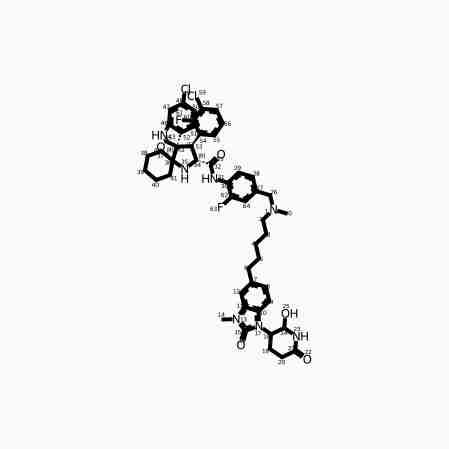 CN(CCCCCc1ccc2c(c1)n(C)c(=O)n2C1CCC(=O)NC1O)Cc1ccc(NC(=O)[C@@H]2NC3(CCCCC3)[C@@]3(C(=O)Nc4cc(Cl)ccc43)[C@H]2c2cccc(Cl)c2F)c(F)c1